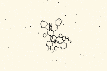 Cc1cccc(C)c1NC(=O)c1c(Cc2ccccc2)n2nc3ccccc3c2c(=O)n1-c1ccccc1